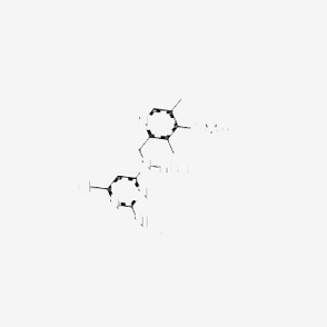 CCCCN(Cc1ncc(C)c(OC)c1C)c1cc(Cl)nc(N)n1